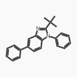 CC(C)(C)c1nc2cc(-c3ccccc3)ccc2n1-c1ccccc1